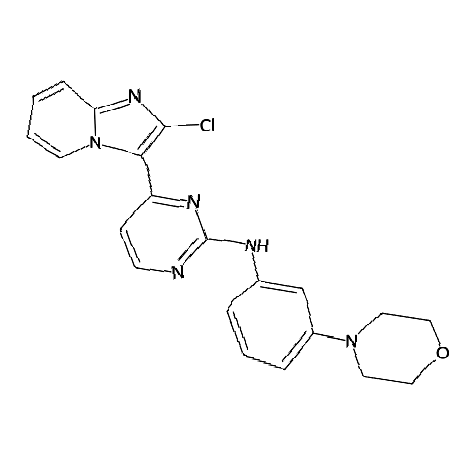 Clc1nc2ccccn2c1-c1ccnc(Nc2cccc(N3CCOCC3)c2)n1